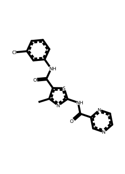 Cc1nc(NC(=O)c2cnccn2)sc1C(=O)Nc1cccc(Cl)c1